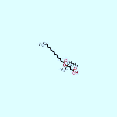 CCCCCCCCCCCC(=O)OC(C)(C)C(C)=CC(=O)O